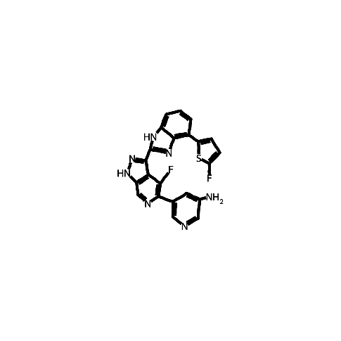 Nc1cncc(-c2ncc3[nH]nc(-c4nc5c(-c6ccc(F)s6)cccc5[nH]4)c3c2F)c1